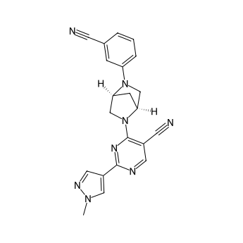 Cn1cc(-c2ncc(C#N)c(N3C[C@@H]4C[C@H]3CN4c3cccc(C#N)c3)n2)cn1